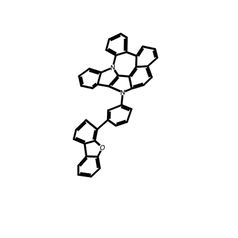 c1cc(-c2cccc3c2oc2ccccc23)cc(-n2c3ccc4cccc5c6ccccc6n6c7ccccc7c2c6c3c45)c1